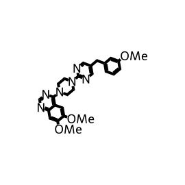 COc1cccc(Cc2cnc(N3CCN(c4ncnc5cc(OC)c(OC)cc45)CC3)nc2)c1